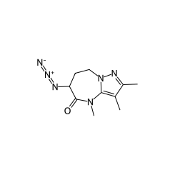 Cc1nn2c(c1C)N(C)C(=O)C(N=[N+]=[N-])CC2